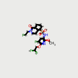 COc1nc(OCC(F)F)c(F)cc1NS(=O)(=O)c1cccc2c(=O)n(CCF)ccc12